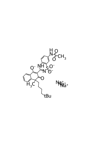 CC(C)(C)CCCCC1(C)C(=O)C(C2=NS([O-])([O-])c3cc(NS(C)(=O)=O)ccc3N2)=C([O-])c2ccccc21.[Na+].[Na+].[Na+]